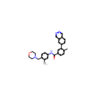 Cc1ccc(C(=O)Nc2ccc(CN3CCOCC3)c(C(F)(F)F)c2)cc1-c1ccc2cnncc2c1